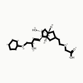 O=C(O)COCCC1C[C@H]2C[C@@H](O)[C@H](C=CC(O)COC3CCCCC3)[C@@H]2C1